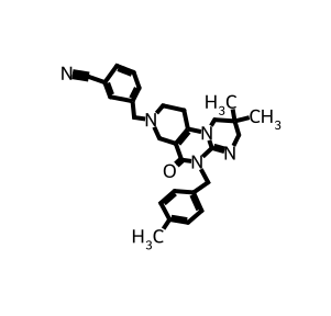 Cc1ccc(CN2C(=O)C3=C(CCN(Cc4cccc(C#N)c4)C3)N3CC(C)(C)CN=C23)cc1